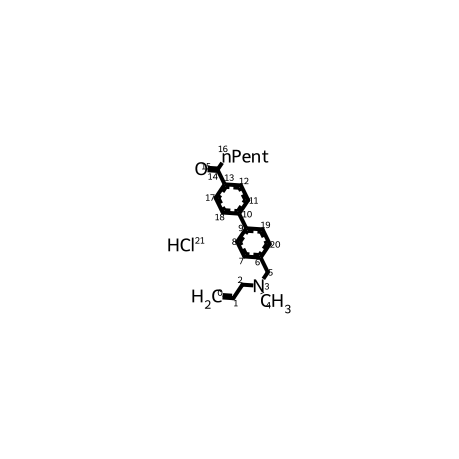 C=CCN(C)Cc1ccc(-c2ccc(C(=O)CCCCC)cc2)cc1.Cl